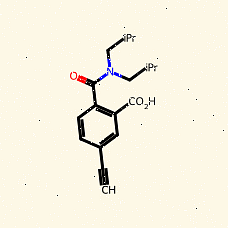 C#Cc1ccc(C(=O)N(CC(C)C)CC(C)C)c(C(=O)O)c1